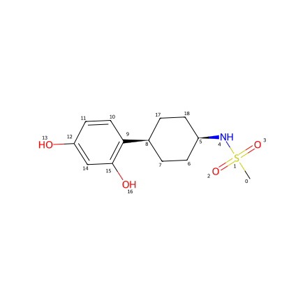 CS(=O)(=O)N[C@H]1CC[C@@H](c2ccc(O)cc2O)CC1